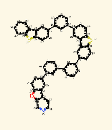 c1cc(-c2cccc(-c3ccc4sc5ccc(-c6cccc(-c7ccc8sc9ccccc9c8c7)c6)cc5c4c3)c2)cc(-c2ccc3oc4cnccc4c3c2)c1